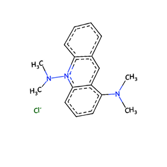 CN(C)c1cccc2c1cc1ccccc1[n+]2N(C)C.[Cl-]